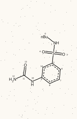 CCCCNS(=O)(=O)c1cccc(NC(N)=O)c1